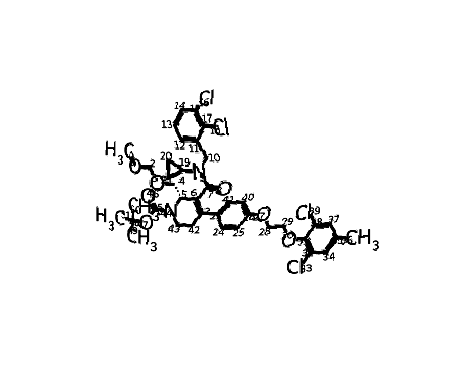 COCOC[C@@H]1C(C(=O)N(Cc2cccc(Cl)c2Cl)C2CC2)=C(c2ccc(OCCOc3c(Cl)cc(C)cc3Cl)cc2)CCN1C(=O)OC(C)(C)C